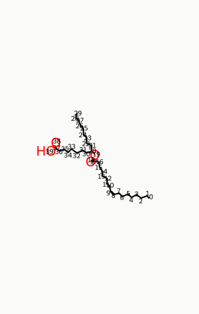 CCCCCCCC/C=C\CCCCCCCC(=O)OC(CCCCCCCCC)CCCCCCCC(=O)O